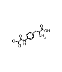 NC(Cc1ccc(NC(=O)C(Cl)Cl)cc1)C(=O)O